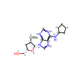 CO[C@@H]1C[C@@H](CO)O[C@H]1n1cnc2c(NC3CCCC3)ncnc21